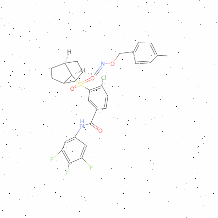 Cc1ccc(CO/N=C/[C@@H]2CC3CC[C@@H](C2)[C@H]3S(=O)(=O)c2cc(C(=O)Nc3cc(F)c(F)c(F)c3)ccc2Cl)cc1